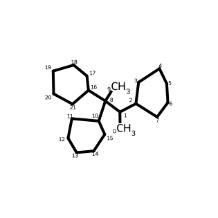 CC(C1CCCCC1)C(C)(C1CCCCC1)C1CCCCC1